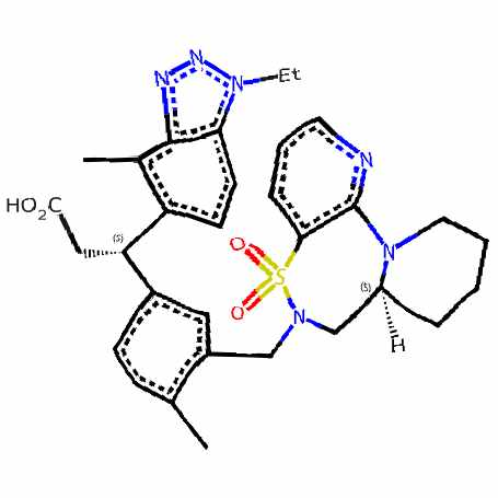 CCn1nnc2c(C)c([C@@H](CC(=O)O)c3ccc(C)c(CN4C[C@@H]5CCCCN5c5ncccc5S4(=O)=O)c3)ccc21